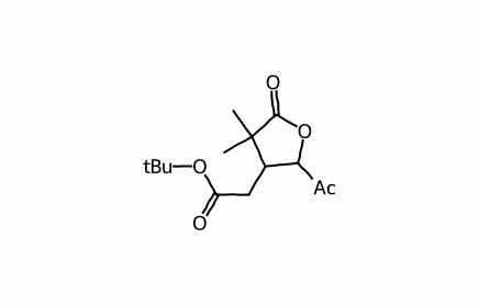 CC(=O)C1OC(=O)C(C)(C)C1CC(=O)OC(C)(C)C